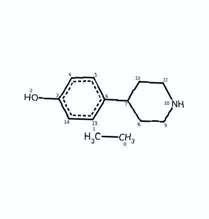 CC.Oc1ccc(C2CCNCC2)cc1